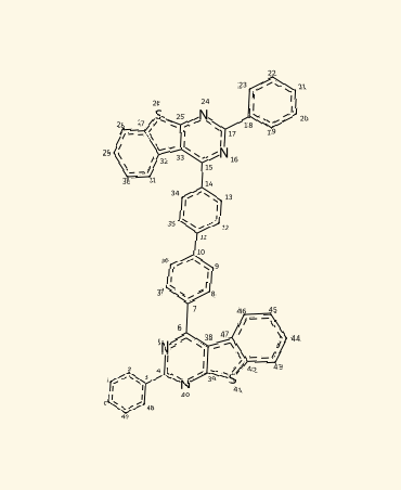 c1ccc(-c2nc(-c3ccc(-c4ccc(-c5nc(-c6ccccc6)nc6sc7ccccc7c56)cc4)cc3)c3c(n2)sc2ccccc23)cc1